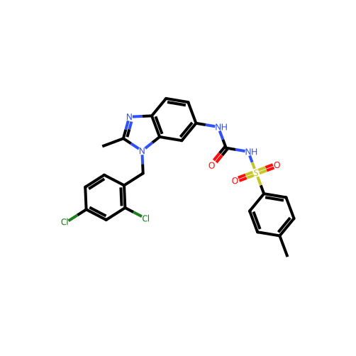 Cc1ccc(S(=O)(=O)NC(=O)Nc2ccc3nc(C)n(Cc4ccc(Cl)cc4Cl)c3c2)cc1